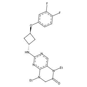 CCN1CC(=O)N(CC)c2cnc(N[C@H]3C[C@H](Oc4ccc(F)c(F)c4)C3)nc21